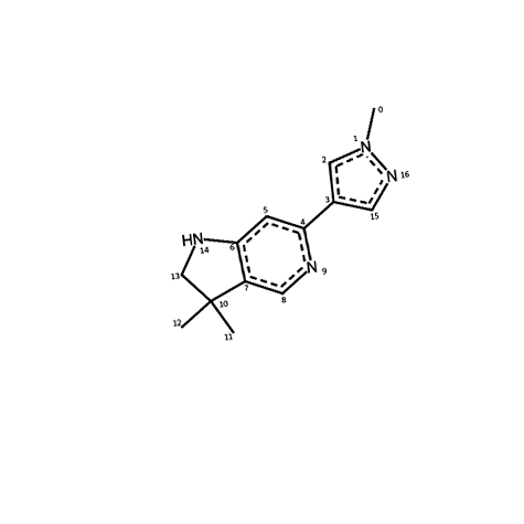 Cn1cc(-c2cc3c(cn2)C(C)(C)CN3)cn1